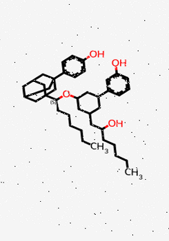 CCCCCC[C@H](OC1CC(CC(O)CCCCC)CC(c2cccc(O)c2)C1)C12CC3CC(CC(c4ccc(O)cc4)(C3)C1)C2